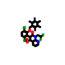 Cc1c(C)c(C)c(COc2c(Cl)ccc(Cl)c2-c2c(O)c3cccnc3n(CC(F)F)c2=O)c(C)c1C